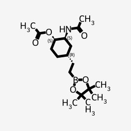 CC(=O)N[C@H]1C[C@H](CCB2OC(C)(C)C(C)(C)O2)CC[C@@H]1OC(C)=O